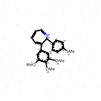 COc1cc(C2=CC=CC=NC2c2ccc(SC)cc2)cc(OC)c1OC